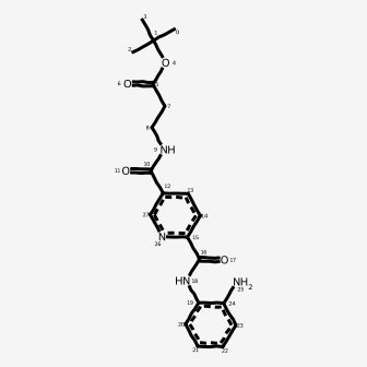 CC(C)(C)OC(=O)CCNC(=O)c1ccc(C(=O)Nc2ccccc2N)nc1